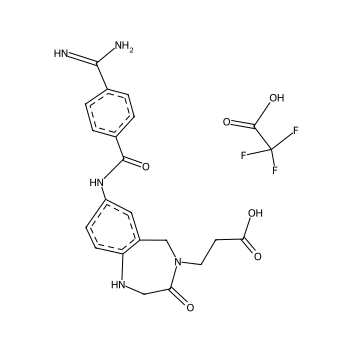 N=C(N)c1ccc(C(=O)Nc2ccc3c(c2)CN(CCC(=O)O)C(=O)CN3)cc1.O=C(O)C(F)(F)F